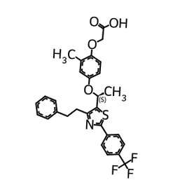 Cc1cc(O[C@@H](C)c2sc(-c3ccc(C(F)(F)F)cc3)nc2CCc2ccccc2)ccc1OCC(=O)O